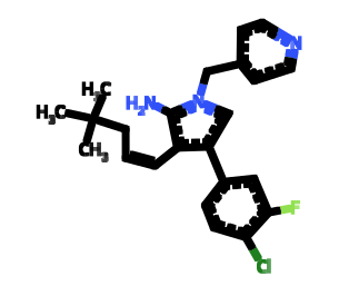 CC(C)(C)C/C=C\c1c(-c2ccc(Cl)c(F)c2)cn(Cc2ccncc2)c1N